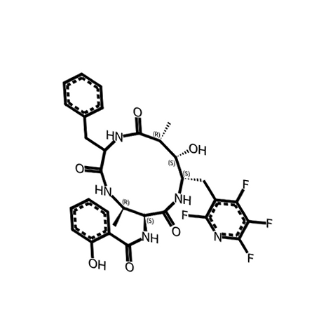 C[C@H]1NC(=O)C(Cc2ccccc2)NC(=O)[C@H](C)[C@H](O)[C@H](Cc2c(F)nc(F)c(F)c2F)NC(=O)[C@H]1NC(=O)c1ccccc1O